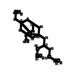 CCC12CC3CC(CN)(C1)CC(CC(CO[N+](=O)[O-])O[N+](=O)[O-])(C3)C2